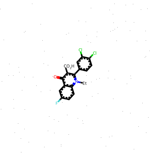 CCn1c(-c2ccc(Cl)c(Cl)c2)c(C(=O)O)c(=O)c2cc(F)ccc21